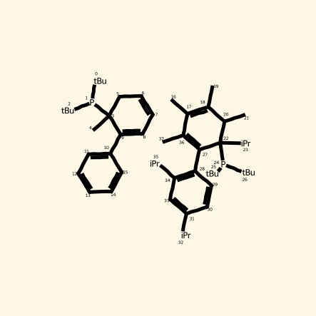 CC(C)(C)P(C(C)(C)C)C1(C)CC=CC=C1c1ccccc1.CC1=C(C)C(C)C(C(C)C)(P(C(C)(C)C)C(C)(C)C)C(c2ccc(C(C)C)cc2C(C)C)=C1C